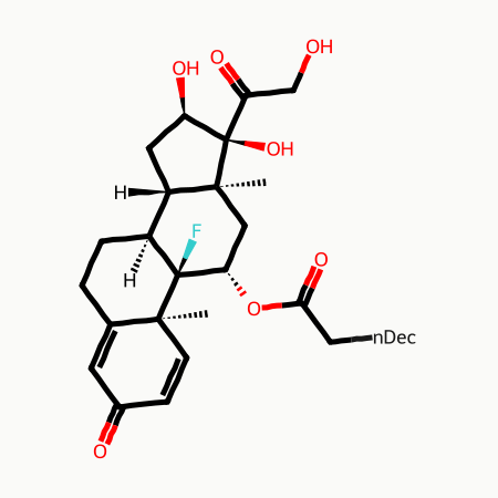 CCCCCCCCCCCC(=O)O[C@H]1C[C@@]2(C)[C@@H](C[C@@H](O)[C@]2(O)C(=O)CO)[C@@H]2CCC3=CC(=O)C=C[C@]3(C)[C@@]12F